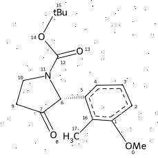 COc1cccc([C@@H]2C(=O)CCN2C(=O)OC(C)(C)C)c1C